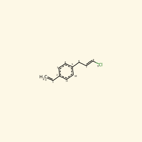 C=Cc1ccc(CC=CCl)cc1